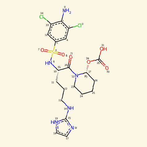 Nc1c(Cl)cc(S(=O)(=O)N[C@@H](CCCNc2ncc[nH]2)C(=O)N2CCCC[C@H]2OC(=O)O)cc1Cl